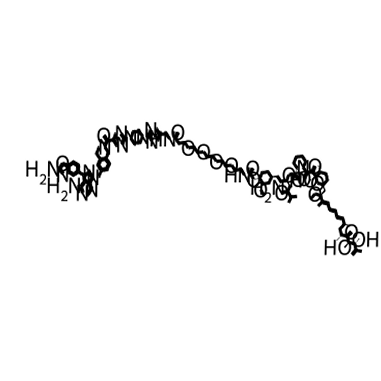 C=C(C)[C@@H](O)[C@@H](O)C(=O)[C@H](C)C[C@H](C)/C=C/C=C/C=C(\C)[C@H](C[C@@H]1CC[C@@H](C)[C@](O)(C(=O)C(=O)N2CCCC[C@H]2C(=O)O[C@@H](CC(=O)C(C)C)[C@H](N)C[C@@H]2CC[C@@H](OC(=O)NCCOCCOCCOCCOCCC(=O)NCc3cnc(N4CCN(c5ncc(C(=O)N6CCc7cc(Cn8nc(-c9ccc%10oc(N)nc%10c9)c9c(N)ncnc98)ccc7C6)cn5)CC4)nc3)[C@H](OC)C2)O1)OC